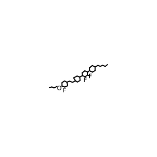 CCCCCC1CCC(C2CCC(C3CCC(CCC4CCC(OCCCC)[C@H](F)C4)CC3)C(F)C2F)CC1